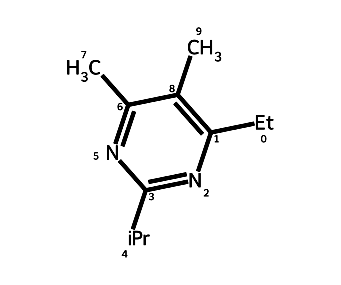 CCc1nc(C(C)C)nc(C)c1C